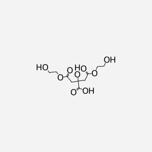 O=C(CC(O)(CC(=O)OCCO)C(=O)O)OCCO